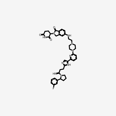 N=C(CCc1ncc(-c2cccc(N3CCN(CCNc4ccc5c(c4)CN(C4CCC(=O)NC4=O)C5=O)CC3)n2)[nH]1)N1CCCC1c1cccc(F)c1